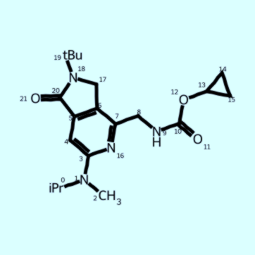 CC(C)N(C)c1cc2c(c(CNC(=O)OC3CC3)n1)CN(C(C)(C)C)C2=O